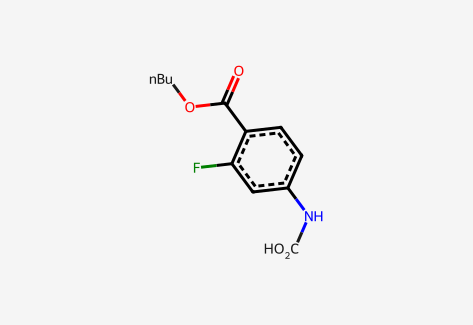 CCCCOC(=O)c1ccc(NC(=O)O)cc1F